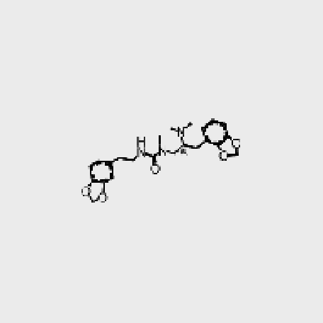 CN(C)[C@H](CNC(=O)NCCc1ccc2c(c1)OCO2)Cc1cccc2c1OCO2